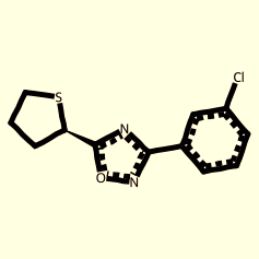 Clc1cccc(-c2noc([C@H]3CCCS3)n2)c1